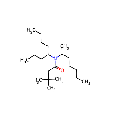 CCCCCC(C)N(C(=O)CC(C)(C)C)C(CCC)CCCC